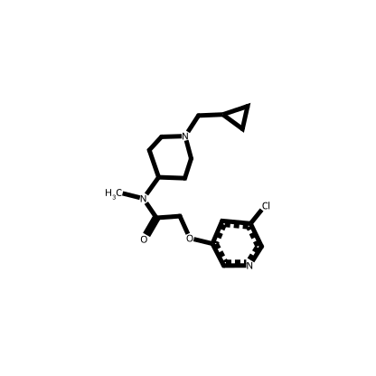 CN(C(=O)COc1cncc(Cl)c1)C1CCN(CC2CC2)CC1